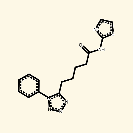 O=C(CCCCc1nnnn1-c1ccccc1)Nc1nccs1